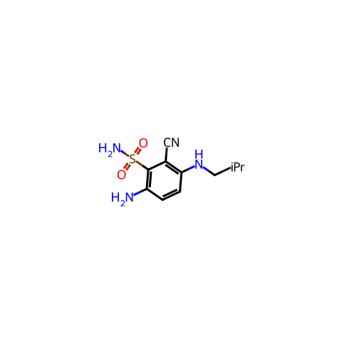 CC(C)CNc1ccc(N)c(S(N)(=O)=O)c1C#N